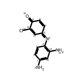 Nc1ccc(N=C2C=CC(=O)C(Cl)=C2)c(N)c1